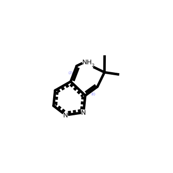 CC(C)(C)/C=c1/nncc/c1=C/N